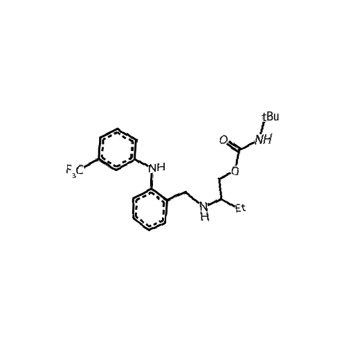 CCC(COC(=O)NC(C)(C)C)NCc1ccccc1Nc1cccc(C(F)(F)F)c1